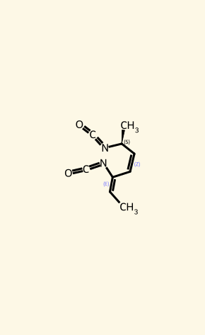 C/C=C(\C=C/[C@H](C)N=C=O)N=C=O